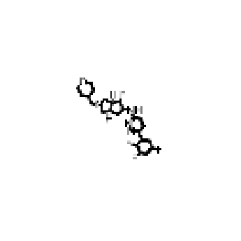 Fc1cc(F)c(F)c(-c2ccc(N[C@@H]3C[C@H]4CN(CC5CCOCC5)C[C@H]4[C@@H]3F)nn2)c1